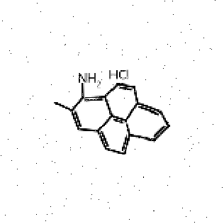 Cc1cc2ccc3cccc4ccc(c1N)c2c34.Cl